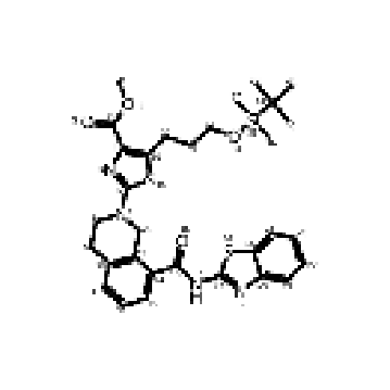 COC(=O)c1nc(N2CCc3cccc(C(=O)Nc4nc5ccccc5s4)c3C2)sc1CCCO[Si](C)(C)C(C)(C)C